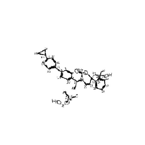 CN(C)C(=O)O.C[C@@H](c1ccc(-c2ccc(C3CC3)nc2)cc1)N1CC[C@](CC(C)(C)O)(c2ccccc2)OC1=O